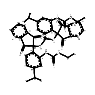 CCOC(=O)Oc1cc(C(C)C)ccc1C1(OC(=O)OC2(c3ccc(C(C)C)cc3OC(=O)OCC)C(=O)c3cccnc3C2=O)C(=O)c2cccnc2C1=O